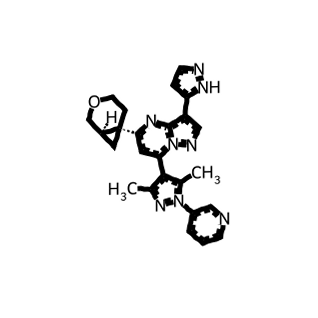 Cc1nn(-c2cccnc2)c(C)c1-c1cc([C@@]23CCOC[C@@H]2C3)nc2c(-c3ccn[nH]3)cnn12